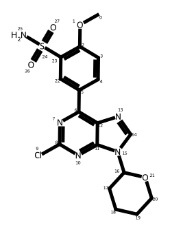 COc1ccc(-c2nc(Cl)nc3c2ncn3C2CCCCO2)cc1S(N)(=O)=O